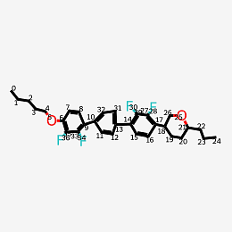 CCCCCOc1ccc(-c2ccc(-c3ccc(C4CCC(CCC)OC4)c(F)c3F)cc2)c(F)c1F